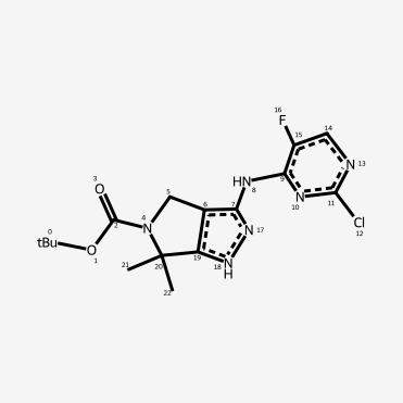 CC(C)(C)OC(=O)N1Cc2c(Nc3nc(Cl)ncc3F)n[nH]c2C1(C)C